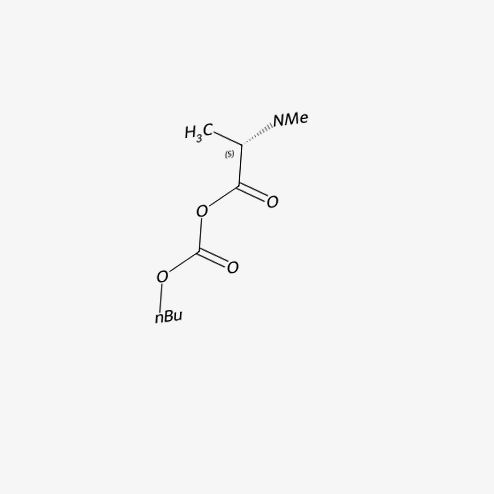 CCCCOC(=O)OC(=O)[C@H](C)NC